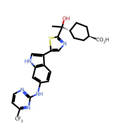 CC(O)(c1ncc(-c2c[nH]c3cc(Nc4nccc(C(F)(F)F)n4)ccc23)s1)[C@H]1CC[C@H](C(=O)O)CC1